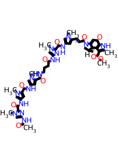 COC(=O)c1c(C)[nH]c2c1[C@@]13C[C@@H]1CN(C(=O)/C=C/c1cc(NC(=O)c4nc(NC(=O)CCCNC(=O)c5cc(NC(=O)c6cc(NC(=O)c7nc(NC(C)=O)cn7C)cn6C)cn5C)cn4C)cn1C)C3=CC2=O